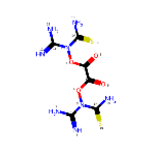 N=C(N)N(OC(=O)C(=O)ON(C(=N)N)C(N)=S)C(N)=S